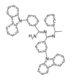 CC(/N=C(\N=C(/N)c1cccc(-n2c3ccccc3c3ccccc32)c1)c1cccc(-n2c3ccccc3c3ccccc32)c1)c1ccccc1